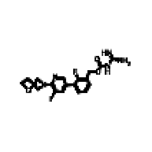 N=C(N)NC(=O)OCc1cccc(-c2cnc(N3CC4(CCO4)C3)c(F)c2)c1F